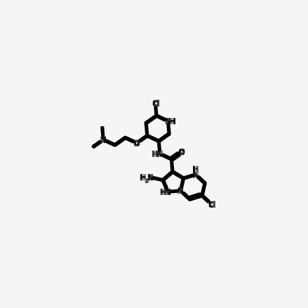 CN(C)CCOC1CC(Cl)NCC1NC(=O)C1C(N)NN2C=C(Cl)CNC12